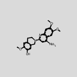 COc1cc2c(cc1O)CN(c1cc(N)c3cc(OC)c(OC)cc3n1)CC2